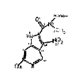 CON(C)C(=O)c1[nH]c2cc(Cl)ccc2c1[N+](=O)[O-]